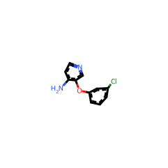 Nc1ccncc1Oc1cccc(Cl)c1